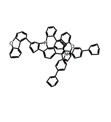 c1ccc(-c2ccc(N(c3ccc(-c4ccccc4)cc3)c3ccc(-c4ccccc4-n4c5cc(-c6cccc7oc8ccccc8c67)ccc5c5ccc(-c6cccc7oc8ccccc8c67)cc54)cc3)cc2)cc1